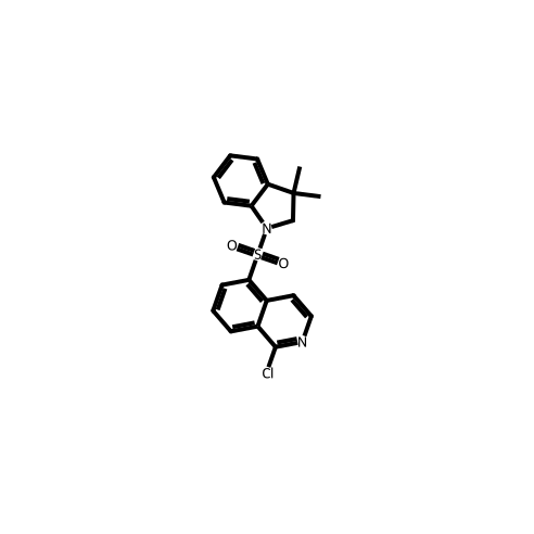 CC1(C)CN(S(=O)(=O)c2cccc3c(Cl)nccc23)c2ccccc21